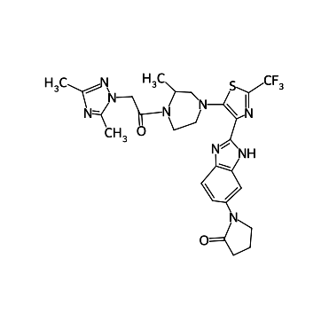 Cc1nc(C)n(CC(=O)N2CCN(c3sc(C(F)(F)F)nc3-c3nc4ccc(N5CCCC5=O)cc4[nH]3)CC2C)n1